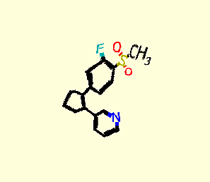 CS(=O)(=O)c1ccc(C2=C(c3cccnc3)CCC2)cc1F